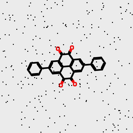 O=c1c(=O)c2cc(-c3ccccc3)cc3c2-c2c1cc(-c1ccccc1)cc2c(=O)c3=O